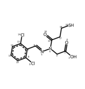 O=C(O)CN(N=Cc1c(Cl)cccc1Cl)C(=O)CCS